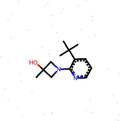 CC1(O)CN(c2ncccc2C(C)(C)C)C1